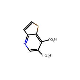 O=C(O)c1cnc2ccsc2c1C(=O)O